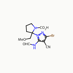 COCC1(n2nc(Br)c(C#N)c2NC=O)CCCN1C(=O)O